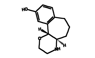 Oc1ccc2c(c1)[C@H]1OCCN[C@@H]1CCC2